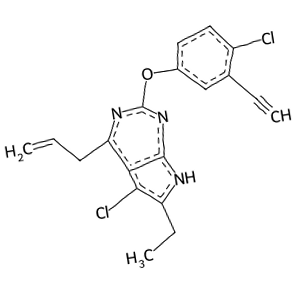 C#Cc1cc(Oc2nc(CC=C)c3c(Cl)c(CC)[nH]c3n2)ccc1Cl